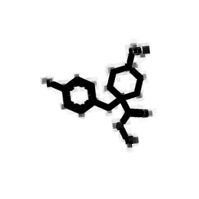 CC(C)(C)OC(=O)C1(Cc2ccc(F)cc2)CCN(C(=O)O)CC1